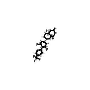 CC1CC[C@@H]2C[C@H](c3cc(F)c(-c4ccc(C(F)(F)F)cc4)c(F)c3)CC[C@@H]2C1